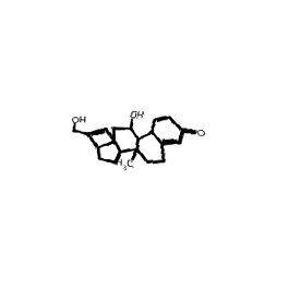 CC12CCC3=CC(=O)C=CC3C1C(O)CC13C=C(CO)C1CCC23